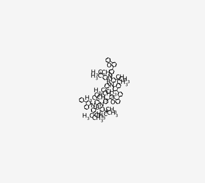 CC(C)(C)c1ccc2c(c1)B1c3ccc(C(C)(C)C)cc3N(c3ccc(-c4cccc5c4oc4cccc(-c6cccc(-c7ccc(N8c9cc(C(C)(C)C)ccc9B9c%10ccc(C(C)(C)C)cc%10N(c%10ccc(-c%11cccc%12c%11oc%11ccccc%11%12)cc%10)c%10cc(C(C)(C)C)cc8c%109)c8ccccc78)c6)c45)cc3)c3cc(C(C)(C)C)cc(c31)N2c1ccc(-c2ccccc2)c2ccccc12